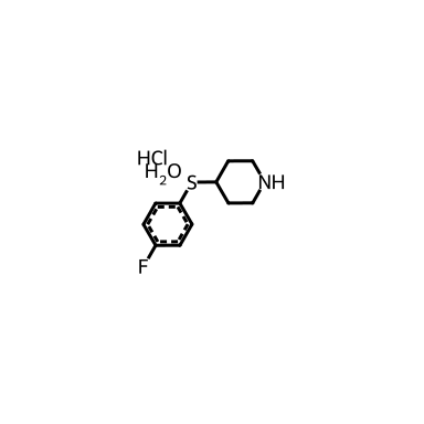 Cl.Fc1ccc(SC2CCNCC2)cc1.O